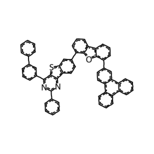 c1ccc(-c2cccc(-c3nc(-c4ccccc4)nc4c3sc3cc(-c5cccc6c5oc5c(-c7ccc8c9ccccc9c9ccccc9c8c7)cccc56)ccc34)c2)cc1